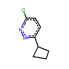 Clc1ccc(C2CCC2)nn1